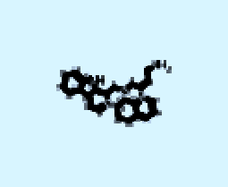 NC/C=C\CN(Cc1nccc2c1[nH]c1ccccc12)[C@H]1CCCc2cccnc21